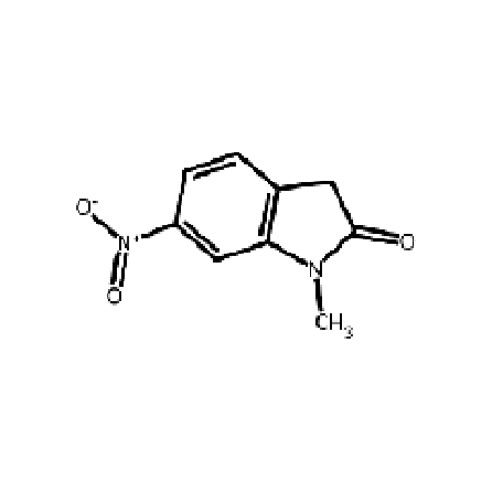 CN1C(=O)Cc2ccc([N+](=O)[O-])cc21